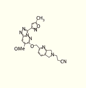 COc1cc2nnc(-c3cc(C)on3)n2nc1OCc1ccc2c(n1)CN(CCC#N)C2